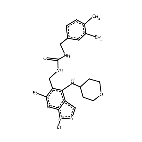 Bc1cc(CNC(=O)NCc2c(CC)nc3c(cnn3CC)c2NC2CCOCC2)ccc1C